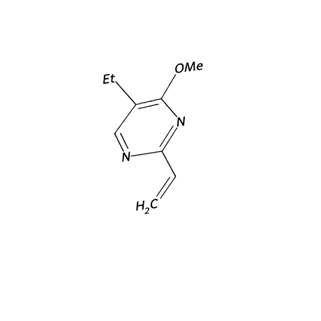 C=Cc1ncc(CC)c(OC)n1